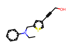 CCN(Cc1cc(C#CCO)cs1)c1ccccc1